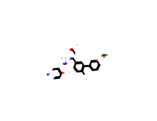 Cc1ccc([C@H](CC(=O)O)NC(=O)Nc2c(O)ccn(C)c2=O)cc1-c1cccc(OC(F)(F)F)c1